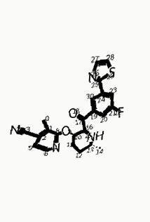 Cc1c(C#N)ccnc1O[C@@H]1CC[C@@H](C)NC1C(=O)c1cc(F)cc(-c2nccs2)c1